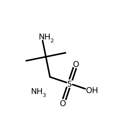 CC(C)(N)CS(=O)(=O)O.N